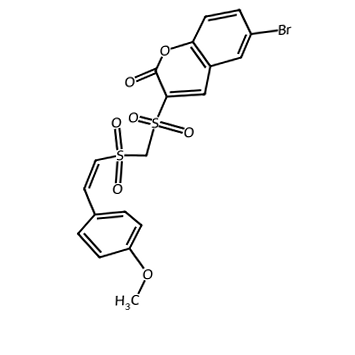 COc1ccc(/C=C\S(=O)(=O)CS(=O)(=O)c2cc3cc(Br)ccc3oc2=O)cc1